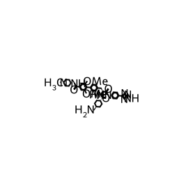 COc1cc(C(=O)NC2CCN(C)CC2)cc(OC)c1-c1ccc(C[C@H](NC(=O)[C@H]2CC[C@H](CN)CC2)C(=O)Nc2ccc(-c3nn[nH]n3)cc2)cc1